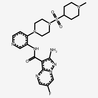 CN1CCC(S(=O)(=O)N2CCN(c3ccncc3NC(=O)c3c(N)nn4cc(F)cnc34)CC2)CC1